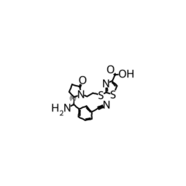 N#Cc1cccc(C(N)[C@H]2CCC(=O)N2CCSc2nc(C(=O)O)cs2)c1